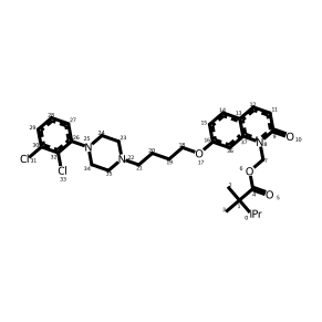 CC(C)C(C)(C)C(=O)OCn1c(=O)ccc2ccc(OCCCCN3CCN(c4cccc(Cl)c4Cl)CC3)cc21